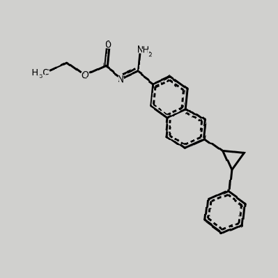 CCOC(=O)N=C(N)c1ccc2cc(C3CC3c3ccccc3)ccc2c1